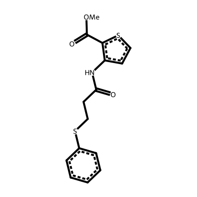 COC(=O)c1sccc1NC(=O)CCSc1ccccc1